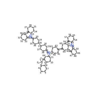 CC1(C)c2ccccc2-c2ccc(N(c3ccc(-c4ccc(-n5c6ccccc6c6ccccc65)cc4)cc3)c3ccc(-c4cc5c6ccccc6n6c7ccccc7c(c4)c56)cc3)cc21